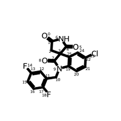 O=C1CC2(C(=O)N1)C(=O)N(Cc1cc(F)ccc1F)c1ccc(Cl)cc12